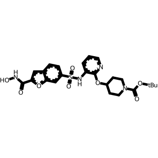 CC(C)(C)OC(=O)N1CCC(Oc2ncccc2NS(=O)(=O)c2ccc3cc(C(=O)NO)oc3c2)CC1